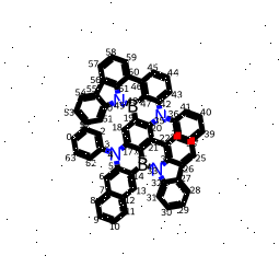 c1ccc(N2c3cc4ccccc4cc3B3c4c2cc2c(c4-c4cccc5c6ccccc6n3c45)N(c3ccccc3)c3cccc4c3B2n2c3ccccc3c3cccc-4c32)cc1